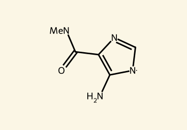 CNC(=O)C1=C(N)[N]C=N1